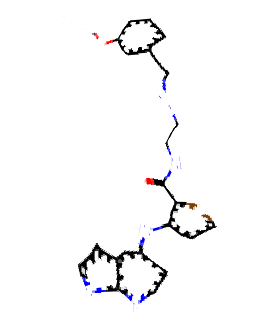 O=C(NCCNCc1cccc(OC(F)(F)F)c1)c1sccc1Nc1ccnc2[nH]ccc12